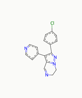 Clc1ccc(-c2nn3c(c2-c2ccncc2)C=NCC3)cc1